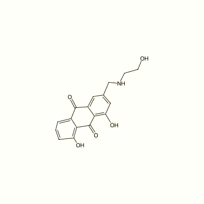 O=C1c2cccc(O)c2C(=O)c2c(O)cc(CNCCO)cc21